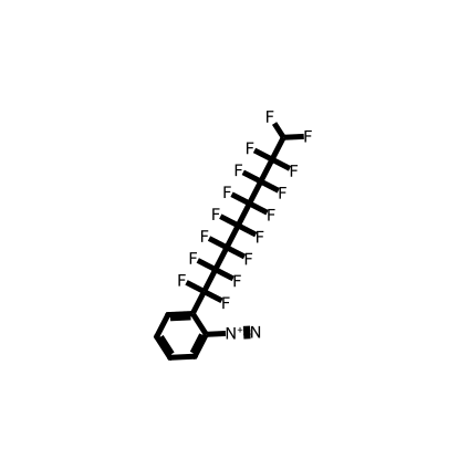 N#[N+]c1ccccc1C(F)(F)C(F)(F)C(F)(F)C(F)(F)C(F)(F)C(F)(F)C(F)(F)C(F)F